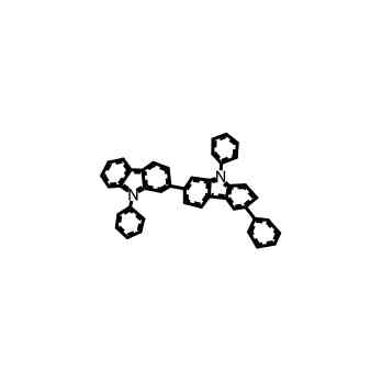 c1ccc(-c2ccc3c(c2)c2ccc(-c4ccc5c6ccccc6n(-c6ccccc6)c5c4)cc2n3-c2ccccc2)cc1